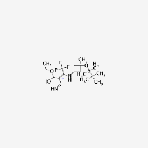 CCOC(O)/C(C=N)=C(/N[C@H]1C[C@@](C)(O[Si](C)(C)C(C)(C)C)C1)C(F)(F)F